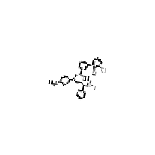 Cc1ccc([C](CCC(C)c2ccccc2)CC(C)c2cccc(-c3cccc(Cl)c3Cl)c2)cc1